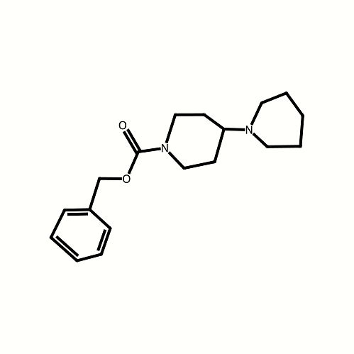 O=C(OCc1ccccc1)N1CCC(N2CCCCC2)CC1